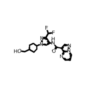 O=C(Nc1cn(C2CCC(CO)CC2)nc1C(F)F)c1cnn2cccnc12